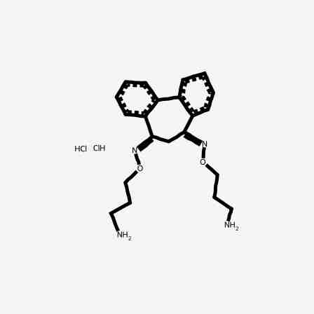 Cl.Cl.NCCCON=C1CC(=NOCCCN)c2ccccc2-c2ccccc21